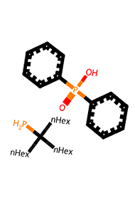 CCCCCCC(P)(CCCCCC)CCCCCC.O=P(O)(c1ccccc1)c1ccccc1